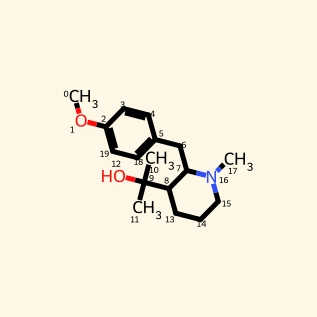 COc1ccc(CC2C(C(C)(C)O)CCCN2C)cc1